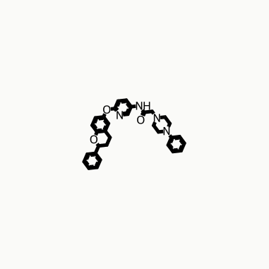 O=C(CN1CCN(c2ccccc2)CC1)Nc1ccc(Oc2ccc3c(c2)CCC(c2ccccc2)O3)nc1